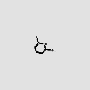 NC1C=CC=C(F)N1